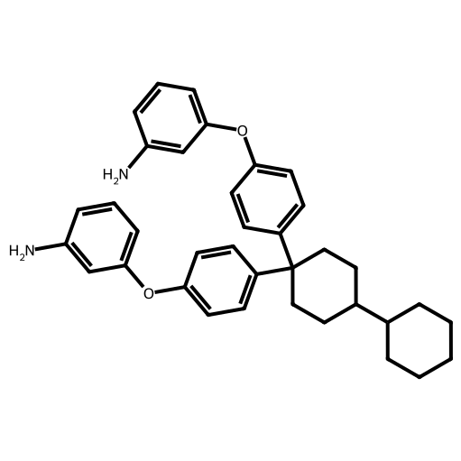 Nc1cccc(Oc2ccc(C3(c4ccc(Oc5cccc(N)c5)cc4)CCC(C4CCCCC4)CC3)cc2)c1